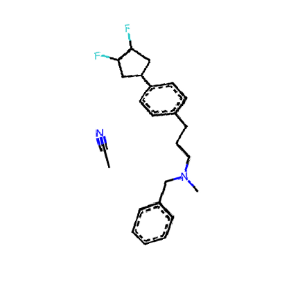 CC#N.CN(CCCc1ccc(C2CC(F)C(F)C2)cc1)Cc1ccccc1